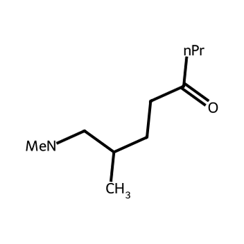 CCCC(=O)CCC(C)CNC